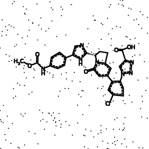 COC(=O)Nc1ccc(-c2cnc([C@@H]3CCc4cc(-c5cc(Cl)ccc5-n5cc(C(=O)O)nn5)cc(=O)n43)[nH]2)cc1